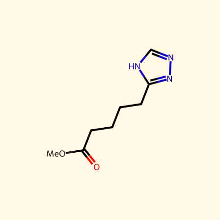 COC(=O)CCCCc1nnc[nH]1